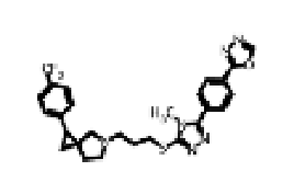 Cn1c(SCCCN2CCC3(CC3c3ccc(C(F)(F)F)cc3)C2)nnc1-c1ccc(-c2nnco2)cc1